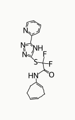 O=C(NC1=CCC=CCC1)C(F)(F)Sc1nnc(-c2ccccn2)[nH]1